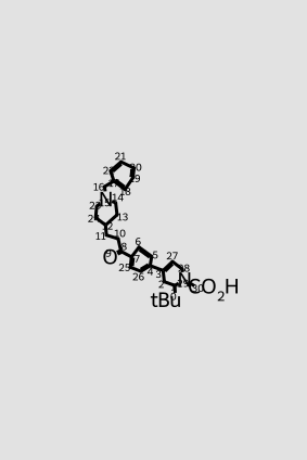 CC(C)(C)C1CC(c2ccc(C(=O)CCC3CCN(Cc4ccccc4)CC3)cc2)=CCN1C(=O)O